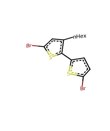 CCCCCCc1cc(Br)sc1-c1ccc(Br)s1